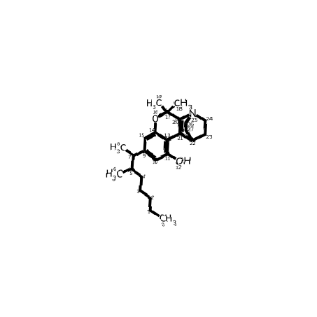 CCCCCC(C)C(C)c1cc(O)c2c(c1)OC(C)(C)C1=C2C2CCN1CC2